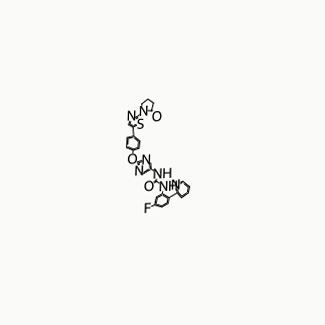 O=C(Nc1cnc(Oc2ccc(-c3cnc(N4CCCC4=O)s3)cc2)nc1)Nc1cc(F)ccc1-c1ccccn1